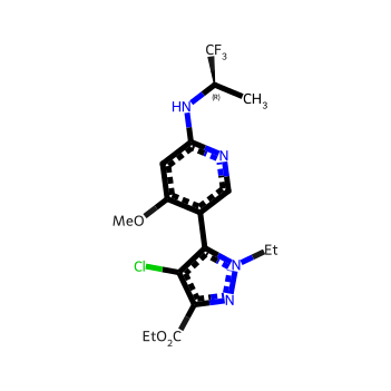 CCOC(=O)c1nn(CC)c(-c2cnc(N[C@H](C)C(F)(F)F)cc2OC)c1Cl